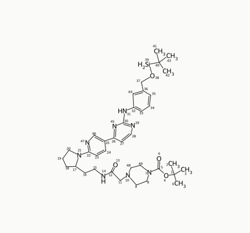 CC(C)(C)OC(=O)N1CCN(CC(=O)NCCC2CCCN2c2ccc(-c3ccnc(Nc4cccc(CO[SiH2]C(C)(C)C)c4)n3)cn2)CC1